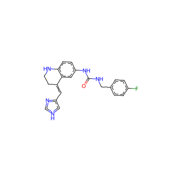 O=C(NCc1ccc(F)cc1)Nc1ccc2c(c1)/C(=C/c1c[nH]cn1)CCN2